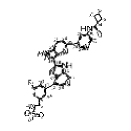 CS(=O)(=O)NCc1cc(F)cc(-c2cncc3[nH]c(-c4n[nH]c5ccc(-c6cncc(NC(=O)C7CCC7)c6)nc45)nc23)c1